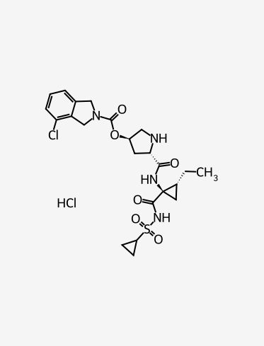 CC[C@@H]1C[C@]1(NC(=O)[C@@H]1C[C@@H](OC(=O)N2Cc3cccc(Cl)c3C2)CN1)C(=O)NS(=O)(=O)C1CC1.Cl